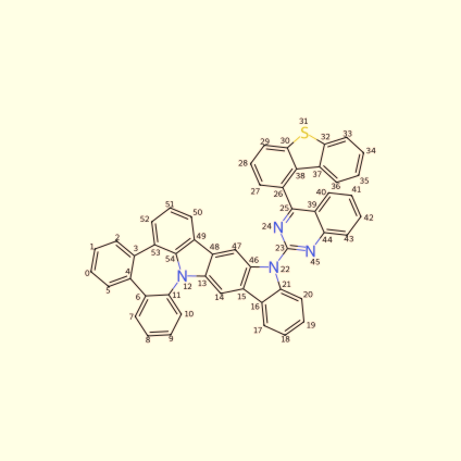 c1ccc2c(c1)-c1ccccc1-n1c3cc4c5ccccc5n(-c5nc(-c6cccc7sc8ccccc8c67)c6ccccc6n5)c4cc3c3cccc-2c31